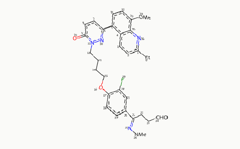 CCc1ccc2c(-c3ccc(=O)n(CCCCOc4ccc(/C(CCC=O)=N/NC)cc4F)n3)ccc(OC)c2n1